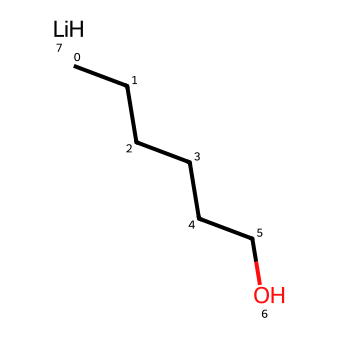 CCCCCCO.[LiH]